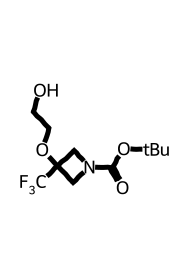 CC(C)(C)OC(=O)N1CC(OCCO)(C(F)(F)F)C1